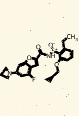 CCc1cccc(OCC2CC2)c1[S+]([O-])NC(=O)c1cc2c(F)cc(N3CCC3)cc2o1